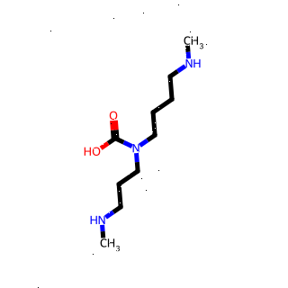 CNCCCCN(CCCNC)C(=O)O